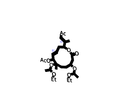 CCOC(C)OC1CCC(C)(OC(C)OCC)C(OC(C)=O)/C=C/CC(/C(C)=C/C(C)=O)OC(=O)C1